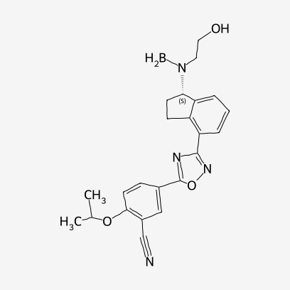 BN(CCO)[C@H]1CCc2c(-c3noc(-c4ccc(OC(C)C)c(C#N)c4)n3)cccc21